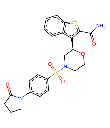 NC(=O)c1sc2ccccc2c1[C@@H]1CN(S(=O)(=O)c2ccc(N3CCCC3=O)cc2)CCO1